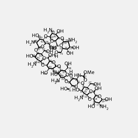 COC(=O)N[C@H]1[C@H](O[C@H]2[C@H](O)[C@@H](N)[C@H](O[C@H]3[C@H](O)[C@@H](N)[C@H](O)O[C@@H]3CO)O[C@@H]2CO)O[C@H](CO)[C@@H](O[C@@H]2O[C@H](CO)[C@@H](O[C@@H]3O[C@H](CO)[C@@H](O[C@@H]4O[C@H](CO)[C@@H](O[C@@H]5O[C@H](CO)[C@@H](O[C@@H]6O[C@H](CO)[C@@H](O[C@@H]7O[C@H](CO)[C@@H](O)[C@H](O)[C@H]7N)[C@H](O)[C@H]6N)[C@H](O)[C@H]5N)[C@H](O)[C@H]4N)[C@H](O)[C@H]3N)[C@H](O)[C@H]2N)[C@@H]1O